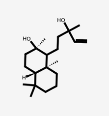 C=CC(C)(O)CCC1[C@](C)(O)CC[C@H]2C(C)(C)CCC[C@]12C